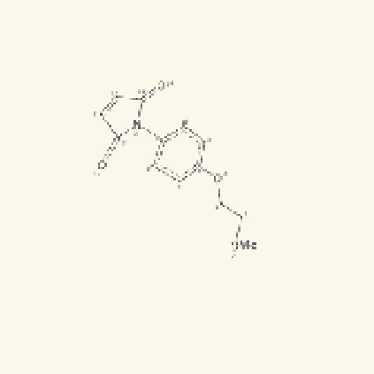 COCCOc1ccc(N2C(=O)C=CC2=O)cc1